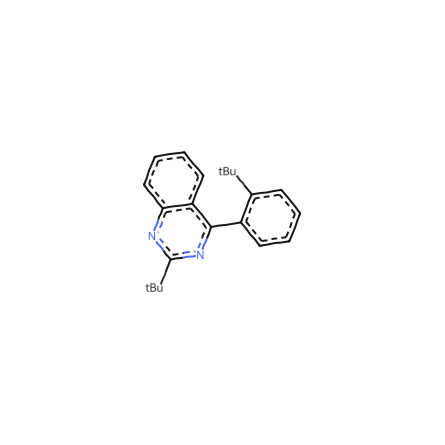 CC(C)(C)c1nc(-c2ccccc2C(C)(C)C)c2ccccc2n1